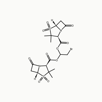 CC1(C)[C@H](C(=O)OC(CBr)OC(=O)[C@@H]2N3C(=O)C[C@H]3S(=O)(=O)C2(C)C)N2C(=O)C[C@H]2S1(=O)=O